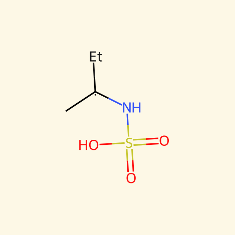 CC[C](C)NS(=O)(=O)O